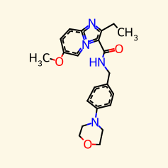 CCc1nc2ccc(OC)cn2c1C(=O)NCc1ccc(N2CCOCC2)cc1